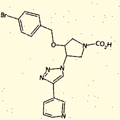 O=C(O)N1CC(OCc2ccc(Br)cc2)C(n2cc(-c3cccnc3)nn2)C1